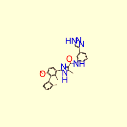 COc1ccc(-c2nc(C(=O)Nc3cccc(-c4c[nH]nn4)c3)c(C)[nH]2)c(C)c1-c1ccccc1C